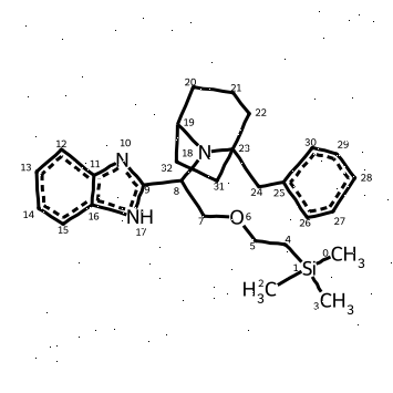 C[Si](C)(C)CCOCC(c1nc2ccccc2[nH]1)N1C2CCCC1(Cc1ccccc1)CC2